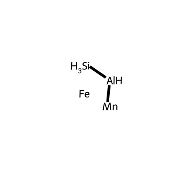 [Fe].[SiH3][AlH][Mn]